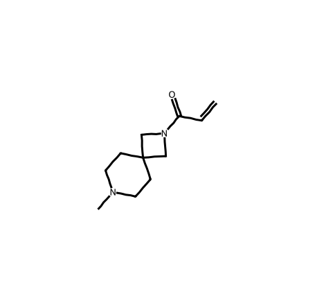 C=CC(=O)N1CC2(CCN(C)CC2)C1